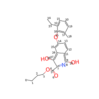 CCCCOC(=O)c1nc(O)c2ccc(Oc3c(C)cccc3CC)cc2c1O